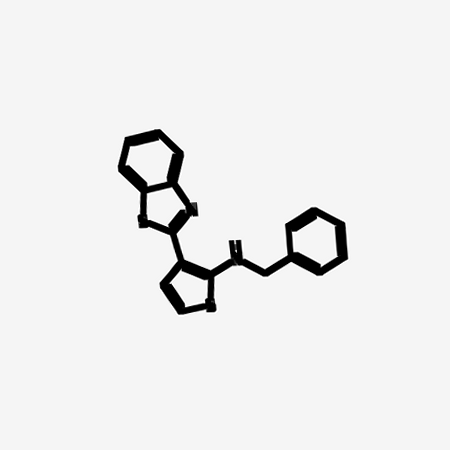 c1ccc(CNc2sccc2-c2nc3ccccc3s2)cc1